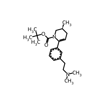 C[C@H]1CC=C(c2cccc(CCN(C)C)c2)N(C(=O)OC(C)(C)C)C1